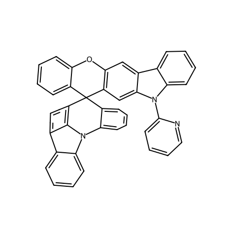 c1ccc(-n2c3ccccc3c3cc4c(cc32)C2(c3ccccc3O4)c3ccccc3-n3c4ccccc4c4cccc2c43)nc1